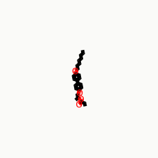 CCCCCCCCOc1ccc(-c2ccc(OCC(C)OC(=O)CC)cc2)cc1